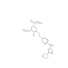 CNC(=O)c1cc(CCc2cnc(Nc3cnn([C@H]4CCOC4)c3)nc2)c(F)c(OC)c1